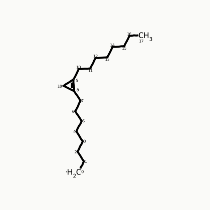 [CH2]CCCCCCCC1=C(CCCCCCCC)C1